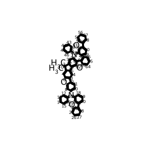 CC1(C)c2cc3oc4cc(N(c5ccccc5)c5cccc6c5oc5ccccc56)ccc4c3cc2-c2c1cc(N(c1ccccc1)c1cccc3c1oc1ccccc13)c1c2oc2ccccc21